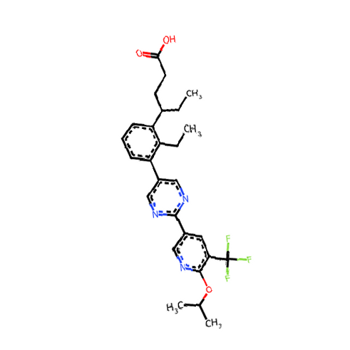 CCc1c(-c2cnc(-c3cnc(OC(C)C)c(C(F)(F)F)c3)nc2)cccc1C(CC)CCC(=O)O